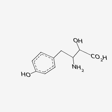 NC(Cc1ccc(O)cc1)C(O)C(=O)O